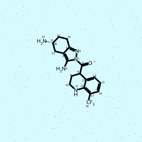 Nc1c2c(nn1C(=O)C1CCNc3c1cccc3C(F)(F)F)CC[C@@H](N)C2